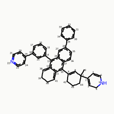 CC1(C2=CCNC=C2)C=C(c2c3c(c(-c4cccc(-c5ccncc5)c4)c4cc(-c5ccccc5)ccc24)=CCCC=3)CCC1